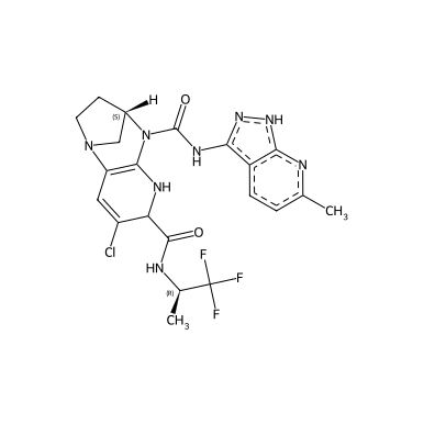 Cc1ccc2c(NC(=O)N3C4=C(C=C(Cl)C(C(=O)N[C@H](C)C(F)(F)F)N4)N4CC[C@H]3C4)n[nH]c2n1